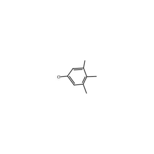 Cc1cc(Cl)cc(C)c1C